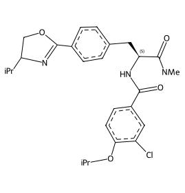 CNC(=O)[C@H](Cc1ccc(C2=NC(C(C)C)CO2)cc1)NC(=O)c1ccc(OC(C)C)c(Cl)c1